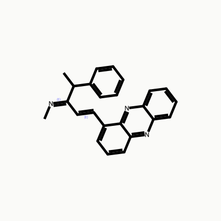 C/N=C(\C=C\c1cccc2nc3ccccc3nc12)C(C)c1ccccc1